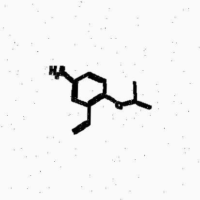 Bc1ccc(OC(C)C)c(C=C)c1